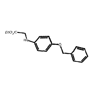 CCOC(=O)CNc1ccc(OCc2ccccc2)cc1